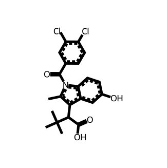 Cc1c(C(C(=O)O)C(C)(C)C)c2cc(O)ccc2n1C(=O)c1ccc(Cl)c(Cl)c1